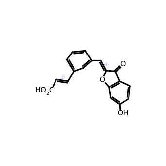 O=C(O)/C=C/c1cccc(/C=C2\Oc3cc(O)ccc3C2=O)c1